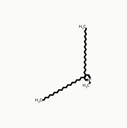 CCCCCCCCCCCCCCCCCCCc1cc[n+](CC)cc1CCCCCCCCCCCCCCCCCCC